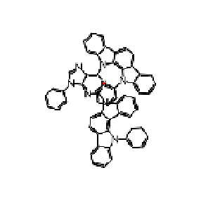 C1=CCCC(n2c3ccccc3c3ccc4c(c5ccccc5n4-c4nc(-n5c6ccccc6c6ccc7c8ccccc8n(-c8ccccc8)c7c65)c5ncn(-c6ccccc6)c5n4)c32)=C1